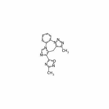 Cc1noc(-c2ncn3c2Cc2c(C)nnn2-c2ccccc2-3)n1